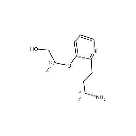 C[C@H](CO)Oc1cccnc1CC[C@@H](C)N